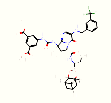 CC[C@H](NC(=O)[C@@H]1C[C@@](C)(NC(=O)Nc2cc(C(=O)OC)cc(C(=O)OC)c2)c2ncc(NCc3cccc(C(F)(F)F)c3)c(=O)n21)B1O[C@@H]2C[C@@H]3C[C@@H](C3(C)C)[C@]2(C)O1